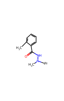 Cc1ccccc1C(=O)NN(C)C(C)C